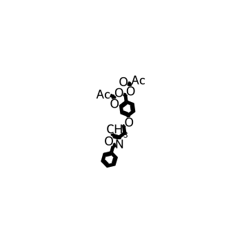 CC(=O)C(=O)OC(OC(=O)C(C)=O)c1ccc(OCCc2nc(-c3ccccc3)oc2C)cc1